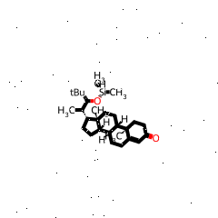 CC(C(O[SiH](C)C)C(C)(C)C)[C@H]1CC[C@H]2[C@@H]3CCC4=CC(=O)CC[C@]4(C)[C@H]3CC[C@]12C